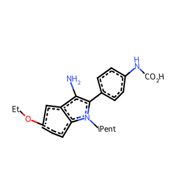 CCCC(C)n1c(-c2ccc(NC(=O)O)cc2)c(N)c2cc(OCC)ccc21